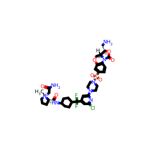 C[N@@+]1(CC(N)=O)CCC[C@H]1C(=O)NC1CCC(C(F)(F)c2cc(Cl)nc(N3CCN(S(=O)(=O)c4ccc5c(c4)OC[C@@H]4[C@H](CN)OC(=O)N54)CC3)c2)CC1